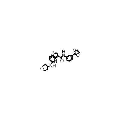 O=C(Nc1cccc(-c2ncco2)c1)c1cnn2ccc(NC3CCOCC3)nc12